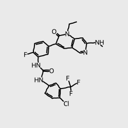 CCn1c(=O)c(-c2ccc(F)c(NC(=O)Nc3ccc(Cl)c(C(F)(F)F)c3)c2)cc2cnc(NC)cc21